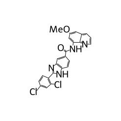 COc1cc(NC(=O)c2ccc3[nH]c(-c4ccc(Cl)cc4Cl)nc3c2)c2ncccc2c1